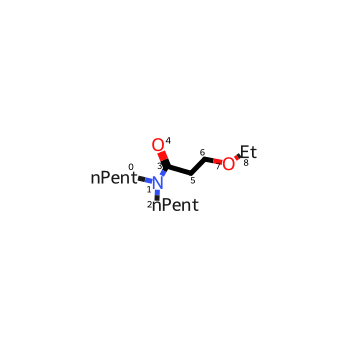 CCCCCN(CCCCC)C(=O)CCOCC